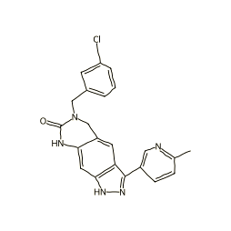 Cc1ccc(-c2n[nH]c3cc4c(cc23)CN(Cc2cccc(Cl)c2)C(=O)N4)cn1